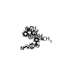 CCOc1cc(C(=O)N2CCN(CCC#N)CC2)ccc1Nc1cc2c(cn1)N(C)C(=O)c1ccccc1N2C